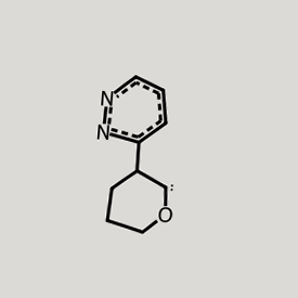 [C]1OCCCC1c1cccnn1